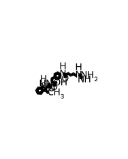 CCc1c(C(=O)NC(Cc2ccc(NC(=O)CCCCNC(=N)N)cc2)C(=O)O)[nH]c2ccccc12